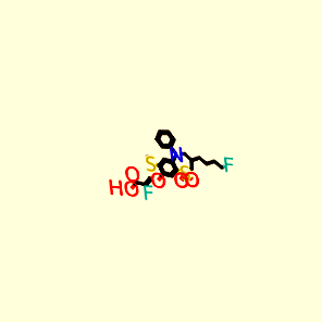 CSc1cc2c(cc1O/C=C(\F)C(=O)O)S(=O)(=O)CC(CCCCF)CN2c1ccccc1